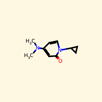 CN(C)c1ccn(C2CC2)c(=O)c1